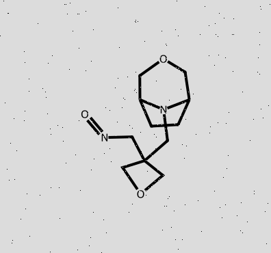 O=NCC1(CN2C3CCC2COC3)COC1